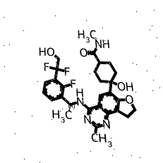 CNC(=O)C1CCC(O)(c2cc3c(N[C@H](C)c4cccc(C(F)(F)CO)c4F)nc(C)nc3c3c2OCC3)CC1